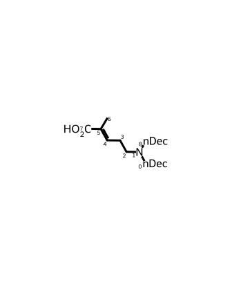 CCCCCCCCCCN(CCC=C(C)C(=O)O)CCCCCCCCCC